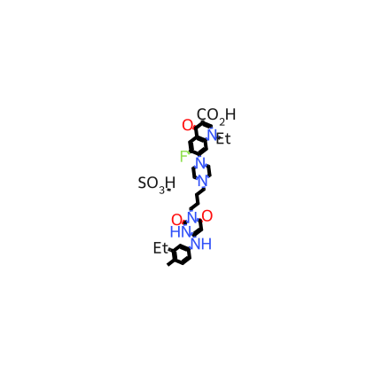 CCc1cc(Nc2cc(=O)n(CCCCN3CCN(c4cc5c(cc4F)c(=O)c(C(=O)O)cn5CC)CC3)c(=O)[nH]2)ccc1C.CS(=O)(=O)O